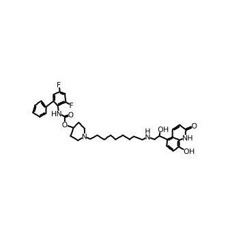 O=C(Nc1c(F)cc(F)cc1-c1ccccc1)OC1CCN(CCCCCCCCCNCC(O)c2ccc(O)c3[nH]c(=O)ccc23)CC1